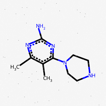 Cc1nc(N)nc(N2CCNCC2)c1C